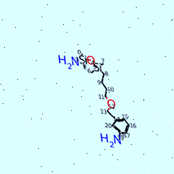 C[Si](C)(N)O[Si](C)(C)CCCCOCc1cccc(N)c1